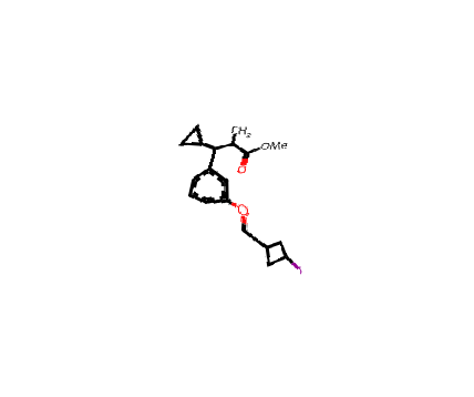 COC(=O)C(C)C(c1cccc(OCC2CC(I)C2)c1)C1CC1